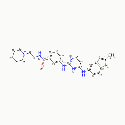 Cc1cc2cc(Nc3ccnc(Nc4cccc(C(=O)NCCN5CCCCC5)c4)n3)ccc2[nH]1